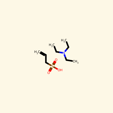 C=CCS(=O)(=O)O.CCN(CC)CC